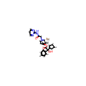 O=C(C[N+]12CCC(CC1)[C@@H](OC(=O)C(O)(c1ccccc1)C1CCCC1)C2)Nc1ncccn1.[Br-]